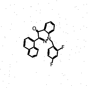 O=c1c(-c2cccc3ccccc23)nn(Cc2ccc(F)cc2F)c2ccccc12